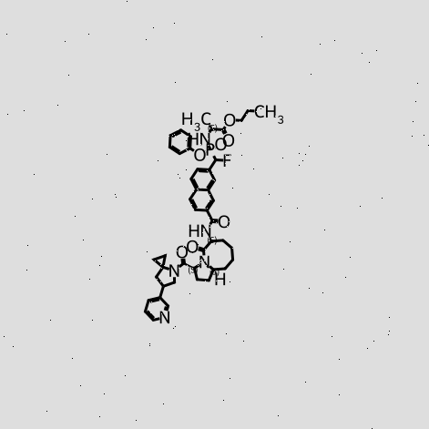 CCCOC(=O)[C@H](C)NP(=O)(Oc1ccccc1)C(F)c1ccc2ccc(C(=O)N[C@H]3CCCC[C@H]4CC[C@@H](C(=O)N5CC(c6cccnc6)CC56CC6)N4C3=O)cc2c1